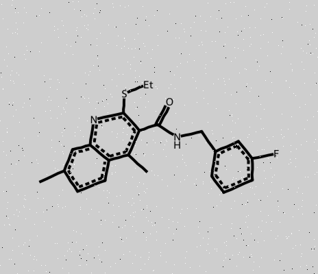 CCSc1nc2cc(C)ccc2c(C)c1C(=O)NCc1cccc(F)c1